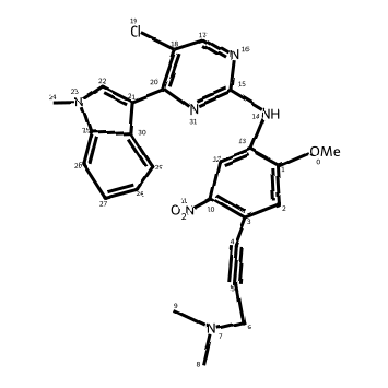 COc1cc(C#CCN(C)C)c([N+](=O)[O-])cc1Nc1ncc(Cl)c(-c2cn(C)c3ccccc23)n1